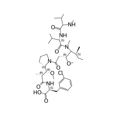 CC[C@H](C)C([C@@H](CC(=O)N1CCC[C@H]1[C@H](OC)[C@@H](C)C(=O)N[C@@H](Cc1cccc(Cl)c1)C(=O)O)OC)N(C)C(=O)[C@@H](NC(=O)C(NC)C(C)C)C(C)C